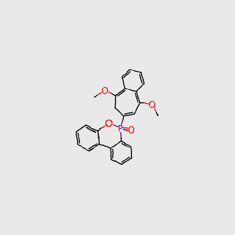 COC1=c2ccccc2=C(OC)CC(P2(=O)Oc3ccccc3-c3ccccc32)=C1